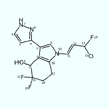 OC1c2c(-c3cc[nH]n3)cn(C=CC(F)Cl)c2CCC1(F)F